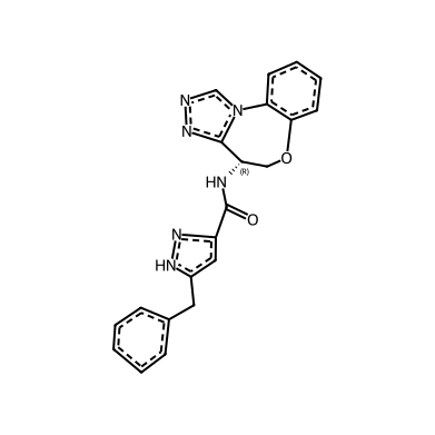 O=C(N[C@H]1COc2ccccc2-n2cnnc21)c1cc(Cc2ccccc2)[nH]n1